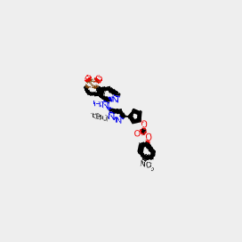 CC(C)(C)n1nc([C@H]2CC[C@@H](OC(=O)Oc3ccc([N+](=O)[O-])cc3)C2)cc1Nc1nccc2c1CCS2(=O)=O